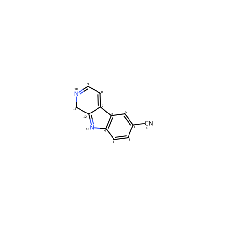 N#Cc1ccc2c(c1)C1=CC=NCC1=N2